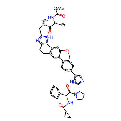 CCCN(Cc1nc2c([nH]1)-c1cc3c(cc1CC2)-c1ccc(-c2cnc([C@@H]4CCCN4C(=O)[C@H](NC(=O)C4CC4)c4ccccc4)[nH]2)cc1CO3)C(=O)[C@@H](NC(=O)OC)C(C)C